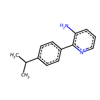 CC(C)c1ccc(-c2ncccc2N)cc1